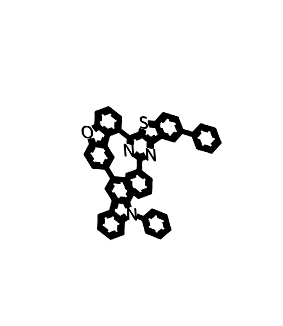 c1ccc(-c2ccc3sc4c(-c5cccc6oc7ccc(-c8ccc9c(c8)c8ccccc8n9-c8ccccc8)cc7c56)nc(-c5ccccc5)nc4c3c2)cc1